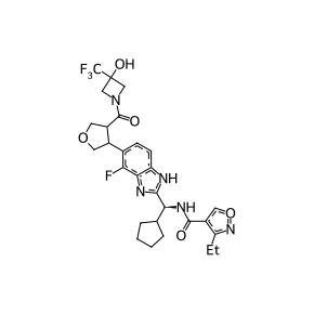 CCc1nocc1C(=O)N[C@H](c1nc2c(F)c(C3COCC3C(=O)N3CC(O)(C(F)(F)F)C3)ccc2[nH]1)C1CCCC1